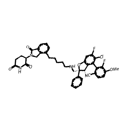 COc1ccc(C#N)c(-c2c(Cl)c(F)cc3c2[C@H](C)[C@@](CNCCCCCc2cccc4c2CN(C2CCC(=O)NC2=O)C4=O)(c2ccccc2)O3)c1F